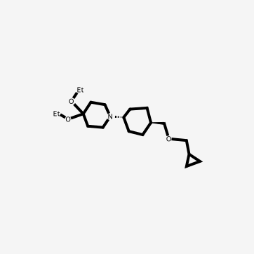 CCOC1(OCC)CCN([C@H]2CC[C@H](COCC3CC3)CC2)CC1